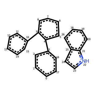 c1ccc(-c2ccccc2-c2ccccc2)cc1.c1ccc2[nH]ccc2c1